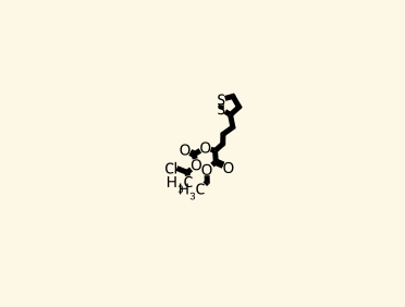 CCOC(=O)C(CCCC1CCSS1)OC(=O)OC(C)Cl